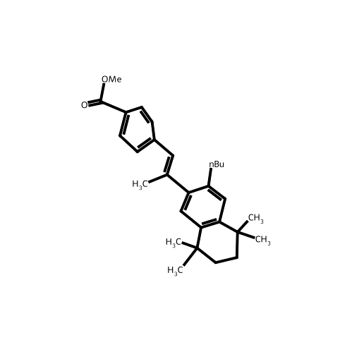 CCCCc1cc2c(cc1C(C)=Cc1ccc(C(=O)OC)cc1)C(C)(C)CCC2(C)C